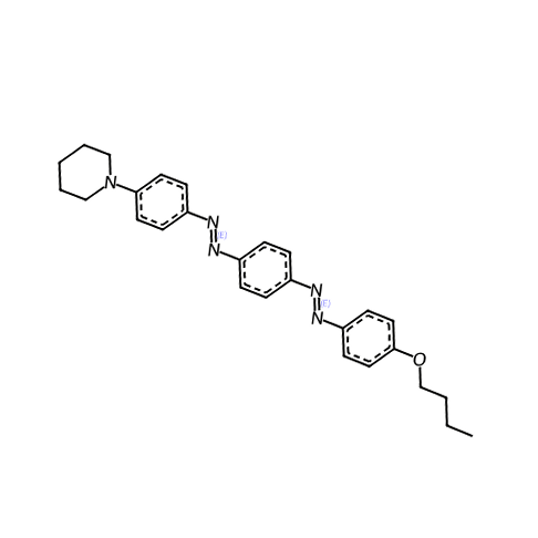 CCCCOc1ccc(/N=N/c2ccc(/N=N/c3ccc(N4CCCCC4)cc3)cc2)cc1